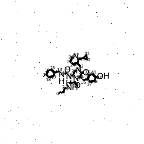 C=CCNCC(=O)N1[C@@H](NC(=O)NCc2ccccc2)CN(Cc2cccnc2C2CC2)C(=O)[C@@H]1Cc1ccc(O)cc1